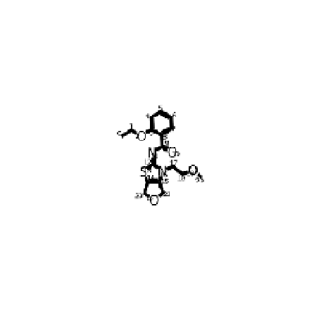 CCOc1ccccc1C(=O)N=c1sc2c(n1CCOC)COC2